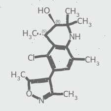 Cc1cc(-c2c(C)noc2C)c(Cl)c2c1NC(C)(C)[C@H](O)[C@H]2C